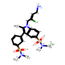 Cc1c(-c2cccc(S(=O)(=O)N(C)C)c2)c2cc(S(=O)(=O)N(C)C)ccc2n1C/C(F)=C/CN.Cl